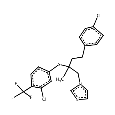 CC(CCc1ccc(Cl)cc1)(Cn1ccnc1)Sc1ccc(C(F)(F)F)c(Cl)c1